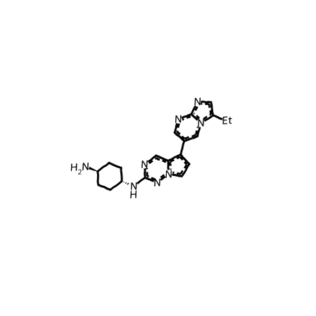 CCc1cnc2ncc(-c3ccn4nc(N[C@H]5CC[C@H](N)CC5)ncc34)cn12